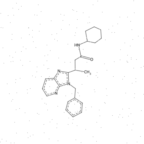 CC(CC(=O)NC1CCCCC1)c1nc2cccnc2n1Cc1ccccc1